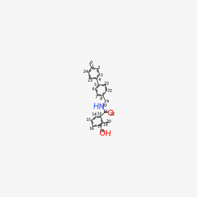 Cc1ccc(-c2ccc(CNC(=O)c3cccc(O)c3C)cc2)cc1